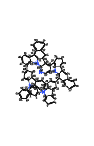 c1ccc(-n2c3ccccc3c3cc(-c4c5ccccc5cc5c6cccc7c8c9c%10cc%11ccccc%11c%11c%12cccc(-c%13ccc%14c(c%13)c%13ccccc%13n%14-c%13ccccc%13)c%12n(c9ncc8n(c45)c67)c%10%11)ccc32)cc1